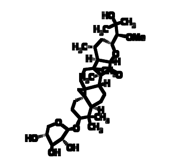 CO[C@@H]([C@H]1C[C@@H](C)[C@H]2[C@H](O1)C(=O)[C@@]1(C)[C@@H]3CC[C@H]4C(C)(C)[C@@H](O[C@@H]5OC[C@@H](O)[C@H](O)[C@H]5O)CC[C@@]45C[C@@]35CC[C@]21C)C(C)(C)O